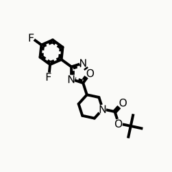 CC(C)(C)OC(=O)N1CCCC(c2nc(-c3ccc(F)cc3F)no2)C1